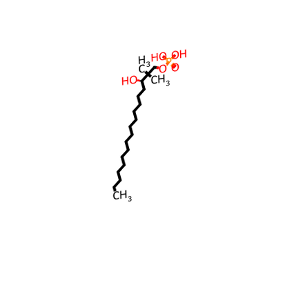 CCCCCCCCCCCCCCC[C@@H](O)C(C)(C)COP(=O)(O)O